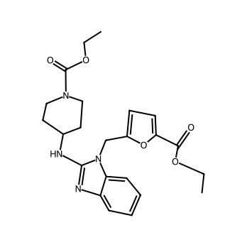 CCOC(=O)c1ccc(Cn2c(NC3CCN(C(=O)OCC)CC3)nc3ccccc32)o1